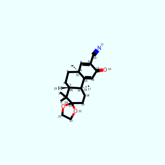 CC1(C)[C@@H]2CC[C@@]3(C)C=C(C#N)C(=O)C=C3[C@@]2(C)CCC12OCCO2